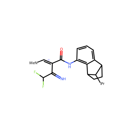 CN/C=C(\C(=N)C(F)F)C(=O)Nc1cccc2c1C1CCC2C1C(C)C